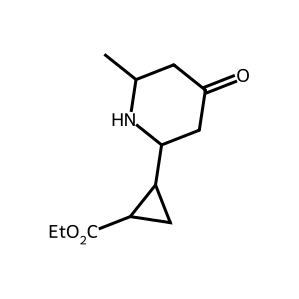 CCOC(=O)C1CC1C1CC(=O)CC(C)N1